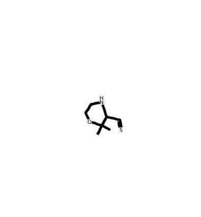 CC1(C)OCCNC1C=S